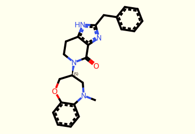 CN1C[C@H](N2CCc3[nH]c(Cc4ccccc4)nc3C2=O)COc2ccccc21